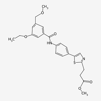 CCOc1cc(COC)cc(C(=O)Nc2ccc(-c3cnc(CCC(=O)OC)s3)cc2)c1